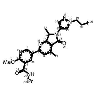 COc1ncc(-c2cc(C)c3c(n2)C(C)N(c2cnn(CCF)c2)C3=O)cc1C(=O)NC(C)C